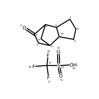 O=C1CC2CC1C1CCCC21.O=S(=O)(O)C(F)(F)F